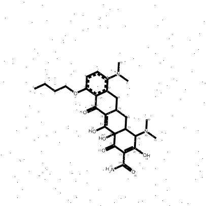 CCCCOc1ccc(N(C)C)c2c1C(=O)C1=C(O)C3(O)C(=O)C(C(N)=O)=C(O)C(N(C)C)C3CC1C2